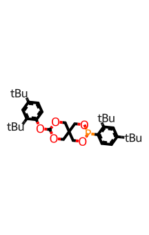 CC(C)(C)c1ccc(OC2OCC3(CO2)COP(c2ccc(C(C)(C)C)cc2C(C)(C)C)OC3)c(C(C)(C)C)c1